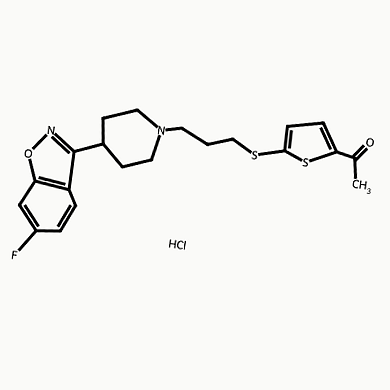 CC(=O)c1ccc(SCCCN2CCC(c3noc4cc(F)ccc34)CC2)s1.Cl